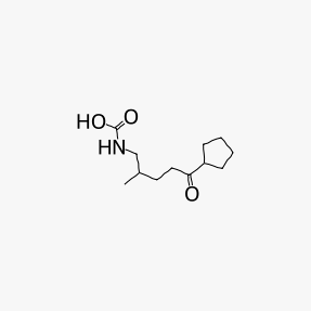 CC(CCC(=O)C1CCCC1)CNC(=O)O